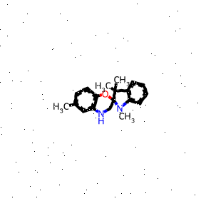 Cc1ccc2c(c1)NCC1(O2)N(C)c2ccccc2C1(C)C